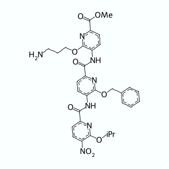 COC(=O)c1ccc(NC(=O)c2ccc(NC(=O)c3ccc([N+](=O)[O-])c(OC(C)C)n3)c(OCc3ccccc3)n2)c(OCCCN)n1